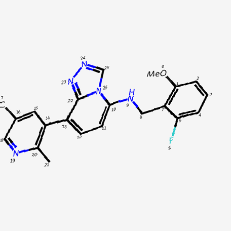 COc1cccc(F)c1CNc1ccc(-c2cc(C#N)cnc2C)c2nncn12